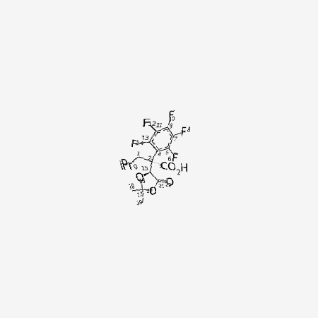 CC(C)C[C@@](C(=O)O)(c1c(F)c(F)c(F)c(F)c1F)[C@@H]1OC(C)(C)OC1=O